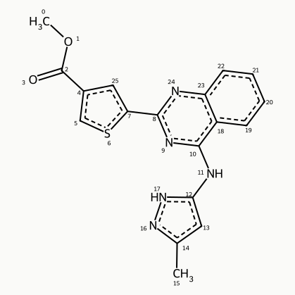 COC(=O)c1csc(-c2nc(Nc3cc(C)n[nH]3)c3ccccc3n2)c1